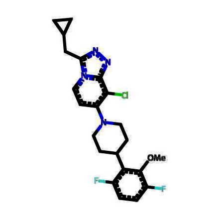 COc1c(F)ccc(F)c1C1CCN(c2ccn3c(CC4CC4)nnc3c2Cl)CC1